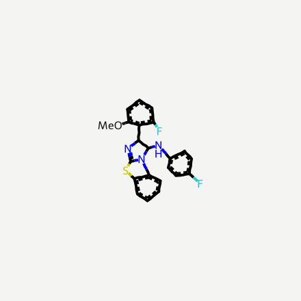 COc1cccc(F)c1C1N=C2Sc3ccccc3N2C1Nc1ccc(F)cc1